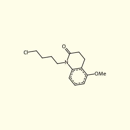 COc1cccc2c1CCC(=O)N2CCCCCl